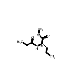 CCC[C@H](NC(=O)CC)C(=O)OC